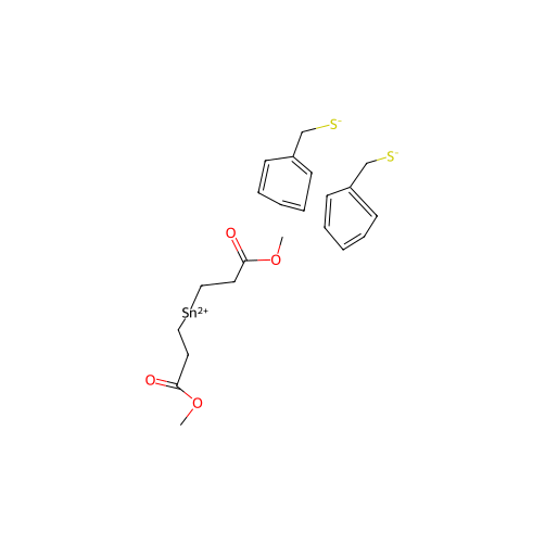 COC(=O)C[CH2][Sn+2][CH2]CC(=O)OC.[S-]Cc1ccccc1.[S-]Cc1ccccc1